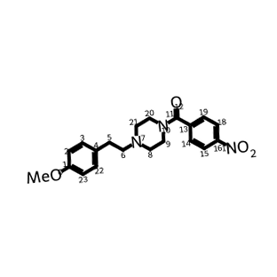 COc1ccc(CCN2CCN(C(=O)c3ccc([N+](=O)[O-])cc3)CC2)cc1